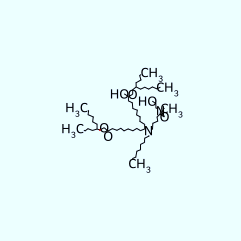 CCCCCCCCCN(CCCCC(=O)N(C)CCO)C(CCCCCCCCC(=O)OCC(CCCC)CCCCCC)CCCCCCCCC(O)OCC(CCCC)CCCCCC